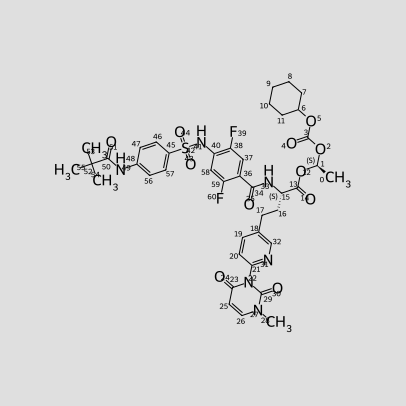 C[C@H](OC(=O)OC1CCCCC1)OC(=O)[C@H](CCc1ccc(-n2c(=O)ccn(C)c2=O)nc1)NC(=O)c1cc(F)c(NS(=O)(=O)c2ccc(NC(=O)C(C)(C)C)cc2)cc1F